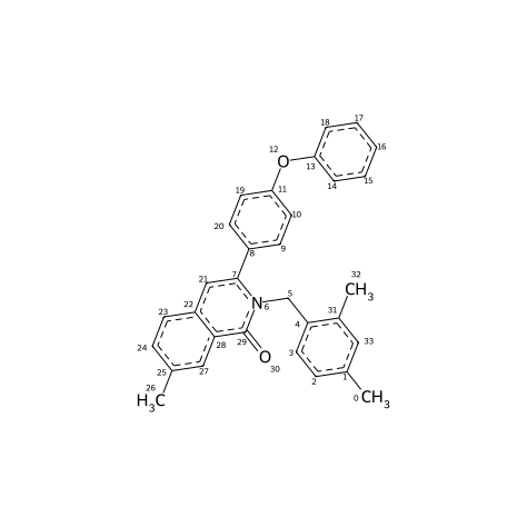 Cc1ccc(Cn2c(-c3ccc(Oc4ccccc4)cc3)cc3ccc(C)cc3c2=O)c(C)c1